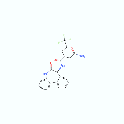 NC(=O)CC(CCC(F)(F)F)C(=O)N[C@@H]1C(=O)Nc2ccccc2-c2ccccc21